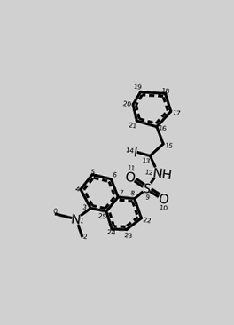 CN(C)c1cccc2c(S(=O)(=O)NC(I)Cc3ccccc3)cccc12